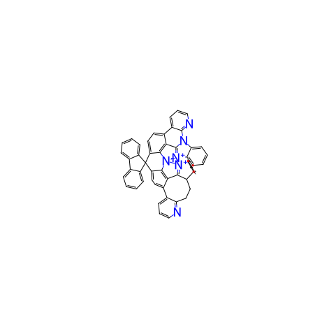 c1ccc2c(c1)-c1ccccc1C21c2ccc3c4c2[N+]2(c5c1ccc1c6cccnc6n6c7ccccc7[n+]2c6c51)[N+]1=C4C(CCc2ncccc2-3)c2ccccc21